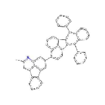 Cc1cc2c3c(cc(-c4ccc5c6c(cccc46)-c4c-5c(-c5ccccc5)c5ccccc5c4-c4ccccc4)cc3n1)-c1ccccc1-2